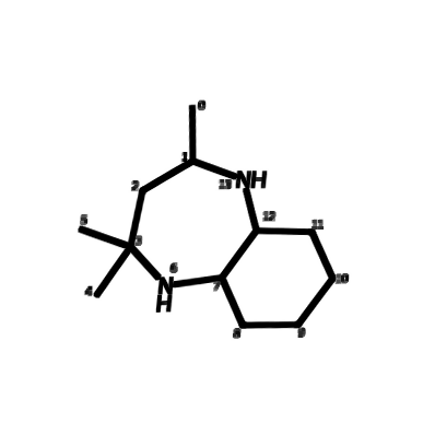 CC1CC(C)(C)NC2CCCCC2N1